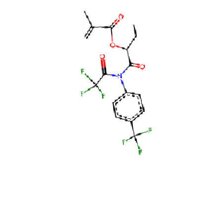 C=C(C)C(=O)OC(CC)C(=O)N(C(=O)C(F)(F)F)c1ccc(C(F)(F)F)cc1